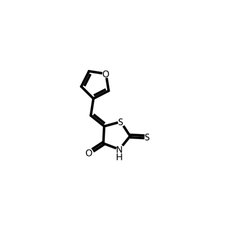 O=C1NC(=S)SC1=Cc1ccoc1